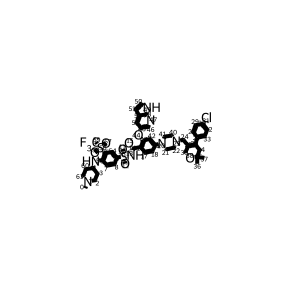 CN1CCC(Nc2ccc(S(=O)(=O)NC(=O)c3ccc(N4CCN(CC5=C(c6ccc(Cl)cc6)CC(C)(C)OC5)CC4)cc3Oc3cnc4[nH]ccc4c3)cc2S(=O)(=O)C(F)(F)F)CC1